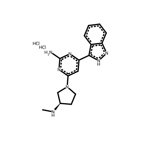 CN[C@@H]1CCN(c2cc(-c3[nH]nc4ccccc34)nc(N)n2)C1.Cl.Cl